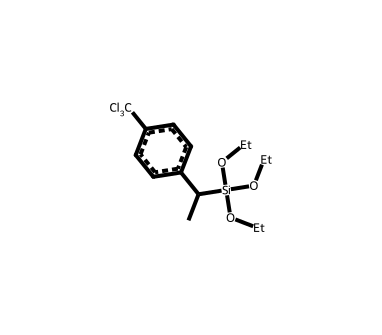 CCO[Si](OCC)(OCC)C(C)c1ccc(C(Cl)(Cl)Cl)cc1